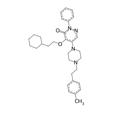 Cc1ccc(CCN2CCN(c3cnn(-c4ccccc4)c(=O)c3OCCC3CCCCC3)CC2)cc1